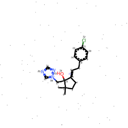 CC1(C)CC/C(=C\Cc2ccc(Cl)cc2)C1(O)Cn1cncn1